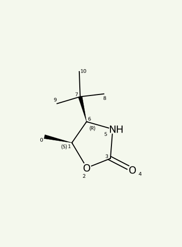 C[C@@H]1OC(=O)N[C@@H]1C(C)(C)C